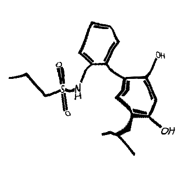 CCCS(=O)(=O)Nc1ccccc1-c1cc(C(C)C)c(O)cc1O